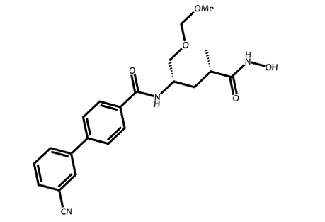 COCOC[C@H](C[C@H](C)C(=O)NO)NC(=O)c1ccc(-c2cccc(C#N)c2)cc1